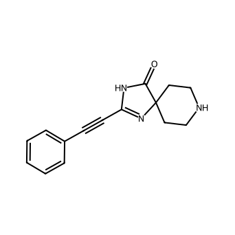 O=C1NC(C#Cc2ccccc2)=NC12CCNCC2